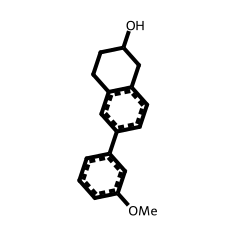 COc1cccc(-c2ccc3c(c2)CCC(O)C3)c1